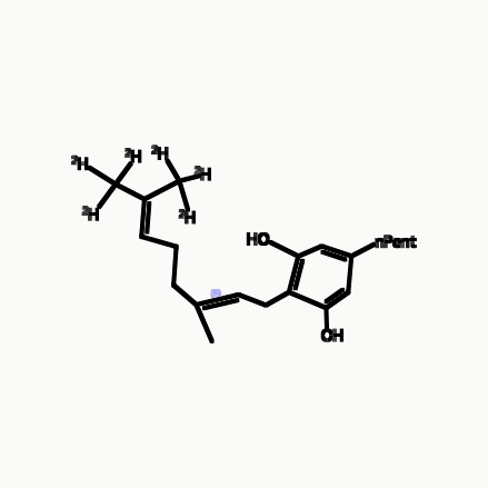 [2H]C([2H])([2H])C(=CCC/C(C)=C/Cc1c(O)cc(CCCCC)cc1O)C([2H])([2H])[2H]